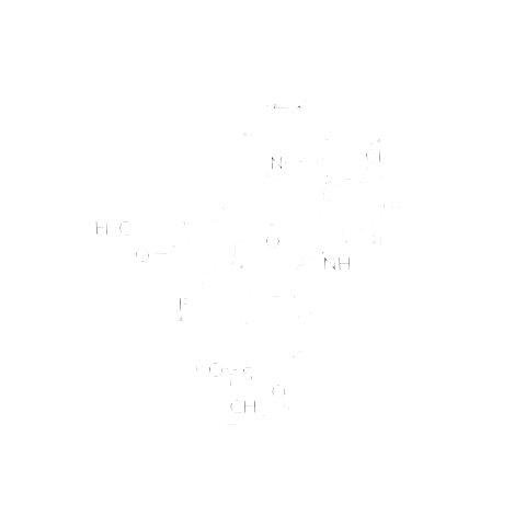 COc1cccc(-c2cc(S(C)(=O)=O)ccc2C(=O)Nc2ccc(Cl)c(-c3ccccn3)c2)c1F